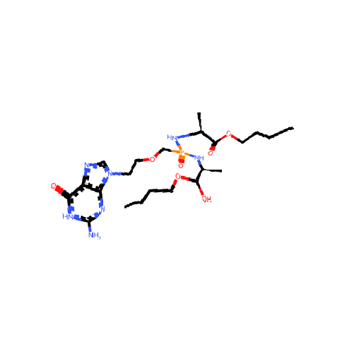 CCCCOC(=O)[C@H](C)NP(=O)(COCCn1cnc2c(=O)[nH]c(N)nc21)N[C@@H](C)C(O)OCCCC